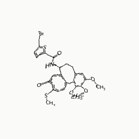 COc1cc2c(c(OC)c1OC)-c1ccc(SC)c(=O)cc1[C@@H](NC(=O)c1ccc(CBr)s1)CC2